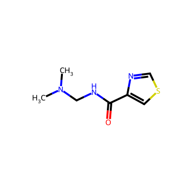 CN(C)CNC(=O)c1cscn1